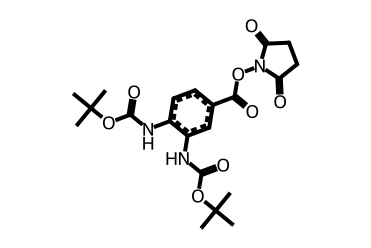 CC(C)(C)OC(=O)Nc1ccc(C(=O)ON2C(=O)CCC2=O)cc1NC(=O)OC(C)(C)C